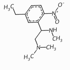 CCc1ccc([N+](=O)[O-])c(C(CN(C)C)NC)c1